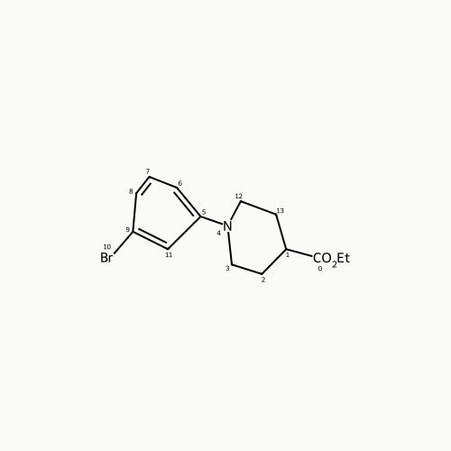 CCOC(=O)C1CCN(c2cccc(Br)c2)CC1